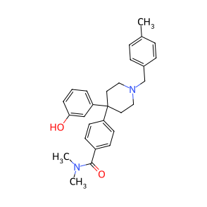 Cc1ccc(CN2CCC(c3ccc(C(=O)N(C)C)cc3)(c3cccc(O)c3)CC2)cc1